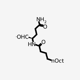 CCCCCCCCCCCC(=O)N[C@@H]([C]=O)CCC(N)=O